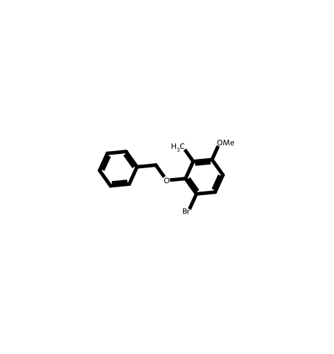 COc1ccc(Br)c(OCc2ccccc2)c1C